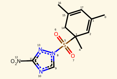 CC1=CC(C)(S(=O)(=O)n2cnc([N+](=O)[O-])n2)CC(C)=C1